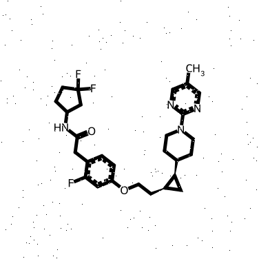 Cc1cnc(N2CCC([C@H]3C[C@H]3CCOc3ccc(CC(=O)NC4CCC(F)(F)C4)c(F)c3)CC2)nc1